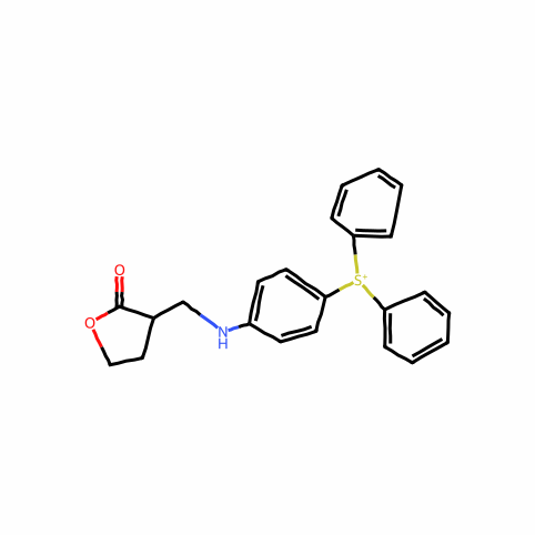 O=C1OCCC1CNc1ccc([S+](c2ccccc2)c2ccccc2)cc1